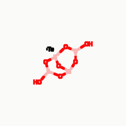 OB1OB2OB(O)OB(O1)O2.[Te]